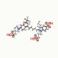 CCCC1(C)\C(=C/C=C/C=C/c2cc(C(C)(C)C)[o+]c3cc(N(CC)CCCS(=O)(=O)O)ccc23)N(CCCS(=O)(=O)O)c2ccc(S(=O)(=O)O)cc21